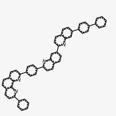 c1ccc(-c2ccc(-c3ccc4ccc(-c5ccc6ccc(-c7ccc(-c8ccc9ccc%10ccc(-c%11ccccc%11)nc%10c9n8)cc7)nc6c5)nc4c3)cc2)cc1